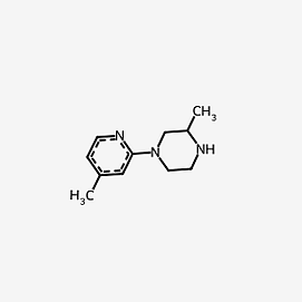 Cc1ccnc(N2CCNC(C)C2)c1